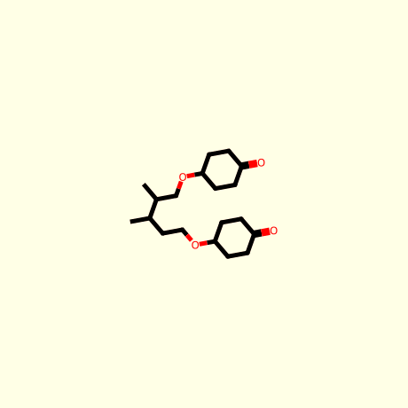 CC(CCOC1CCC(=O)CC1)C(C)COC1CCC(=O)CC1